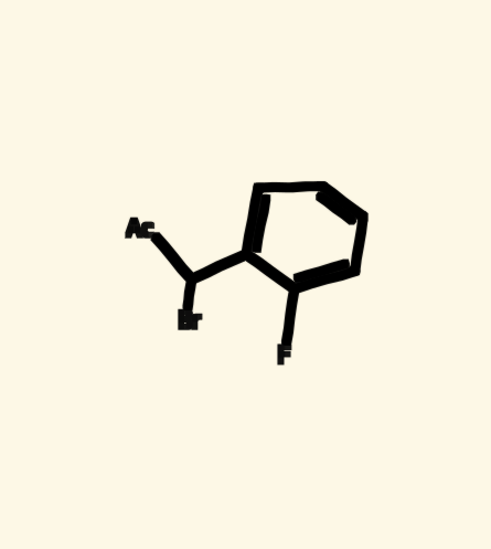 CC(=O)C(Br)c1ccccc1F